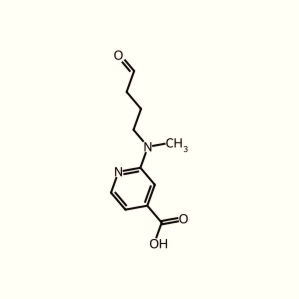 CN(CCCC=O)c1cc(C(=O)O)ccn1